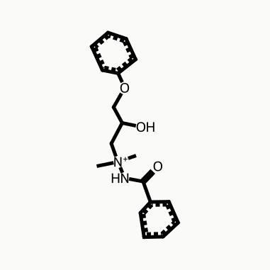 C[N+](C)(CC(O)COc1ccccc1)NC(=O)c1ccccc1